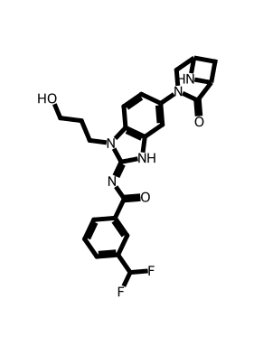 O=C(/N=c1\[nH]c2cc(N3CC4CC(N4)C3=O)ccc2n1CCCO)c1cccc(C(F)F)c1